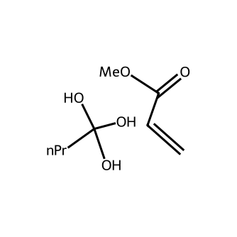 C=CC(=O)OC.CCCC(O)(O)O